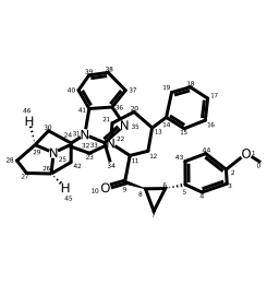 COc1ccc([C@@H]2C[C@H]2C(=O)C2CC(c3ccccc3)CCN2CCN2[C@@H]3CC[C@H]2CC(n2c(C)nc4ccccc42)C3)cc1